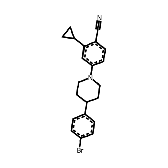 N#Cc1ccc(N2CCC(c3ccc(Br)cc3)CC2)cc1C1CC1